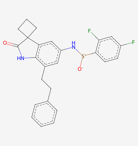 O=C1Nc2c(CCc3ccccc3)cc(N[S+]([O-])c3ccc(F)cc3F)cc2C12CCC2